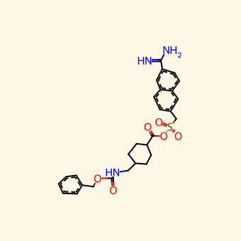 N=C(N)c1ccc2cc(CS(=O)(=O)OC(=O)C3CCC(CNC(=O)OCc4ccccc4)CC3)ccc2c1